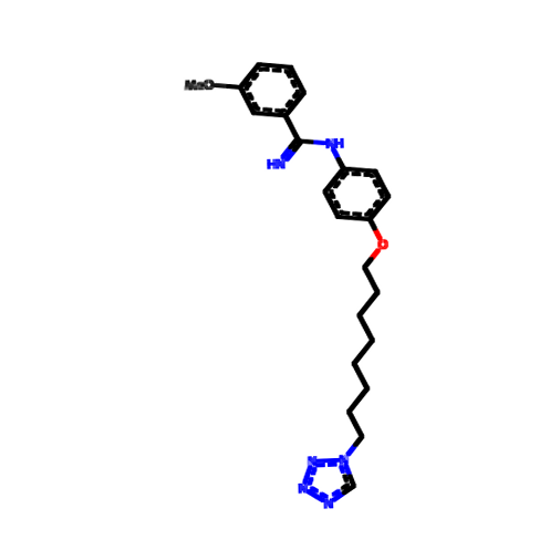 COc1cccc(C(=N)Nc2ccc(OCCCCCCCCn3cnnn3)cc2)c1